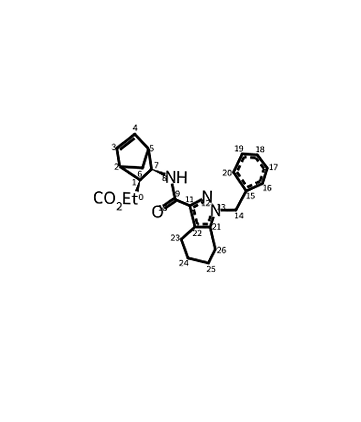 CCOC(=O)[C@H]1C2C=CC(C2)[C@H]1NC(=O)c1nn(Cc2ccccc2)c2c1CCCC2